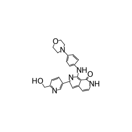 O=c1[nH]ccc2cc(-c3ccc(CO)nc3)nc(Nc3ccc(N4CCOCC4)cc3)c12